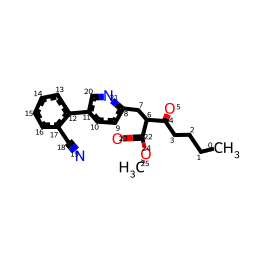 CCCCC(=O)C(Cc1ccc(-c2ccccc2C#N)cn1)C(=O)OC